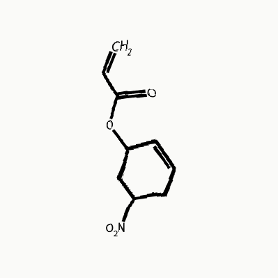 C=CC(=O)OC1C=CCC([N+](=O)[O-])C1